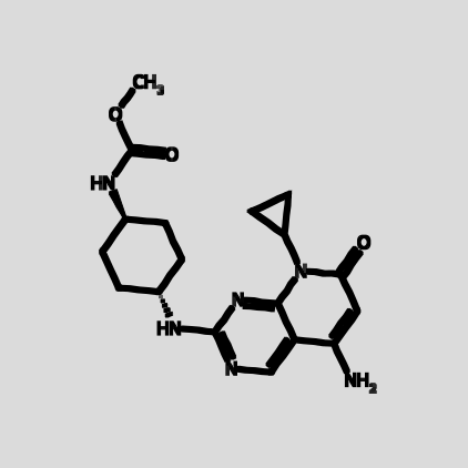 COC(=O)N[C@H]1CC[C@H](Nc2ncc3c(N)cc(=O)n(C4CC4)c3n2)CC1